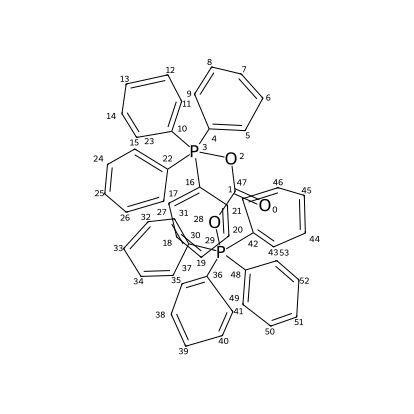 O=C(OP(c1ccccc1)(c1ccccc1)(c1ccccc1)c1ccccc1)OP(c1ccccc1)(c1ccccc1)(c1ccccc1)c1ccccc1